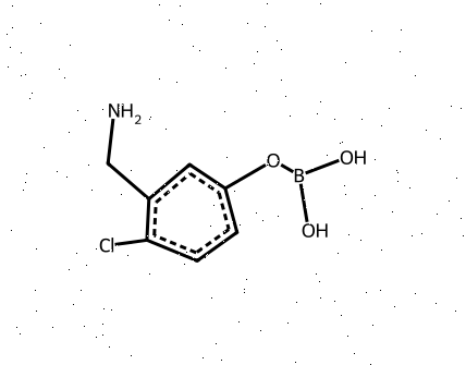 NCc1cc(OB(O)O)ccc1Cl